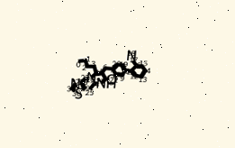 CCCCC1=C(Cc2ccc(-c3ccccc3C#N)cc2)C(=O)NC(C)N1Cc1cscn1